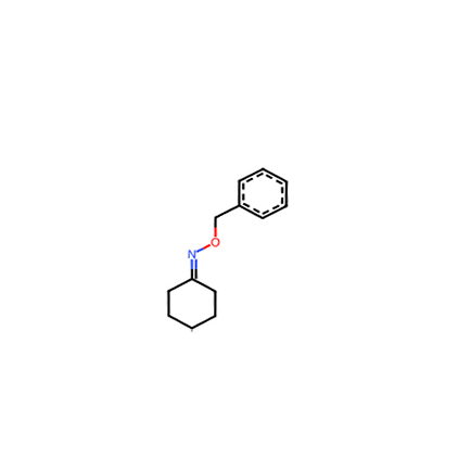 [CH]1CCC(=NOCc2ccccc2)CC1